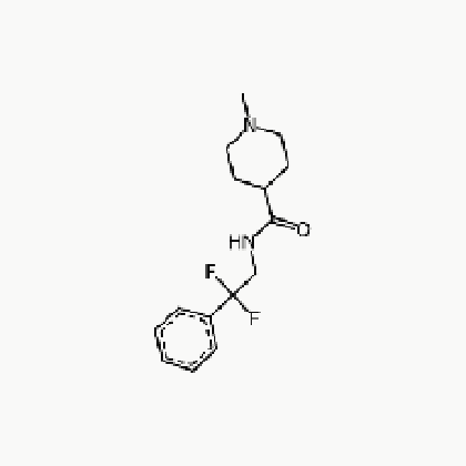 CN1CCC(C(=O)NCC(F)(F)c2ccccc2)CC1